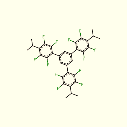 CC(C)c1c(F)c(F)c(-c2cc(-c3c(F)c(F)c(C(C)C)c(F)c3F)cc(-c3c(F)c(F)c(C(C)C)c(F)c3F)c2)c(F)c1F